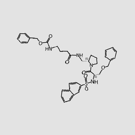 O=C(CCCNC(=O)OCc1ccccc1)NC[C@@H]1CCCN1C(=O)[C@H](COCc1ccccc1)NS(=O)(=O)c1ccc2ccccc2c1